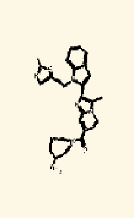 Cc1ncc(Cn2c(-c3nc4cc(C(=O)N5CCCC(N)C5)ccn4c3C)cc3ccccc32)s1